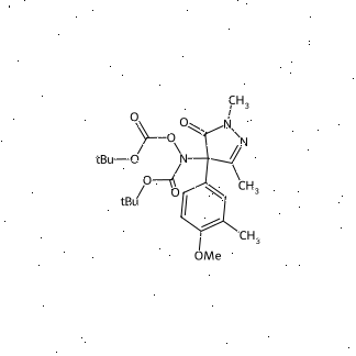 COc1ccc(C2(N(OC(=O)OC(C)(C)C)C(=O)OC(C)(C)C)C(=O)N(C)N=C2C)cc1C